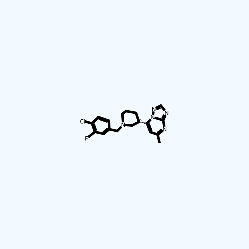 Cc1cc([C@H]2CCCN(Cc3ccc(Cl)c(F)c3)C2)n2ncnc2n1